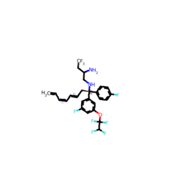 C=C/C=C\C=C\C[C@@](NCC(N)CC(F)(F)F)(c1ccc(F)cc1)c1cc(F)cc(OC(F)(F)C(F)F)c1